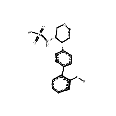 CCOc1ccccc1-c1ccc([C@H]2CCOC[C@H]2NS(=O)(=O)C(C)C)cc1